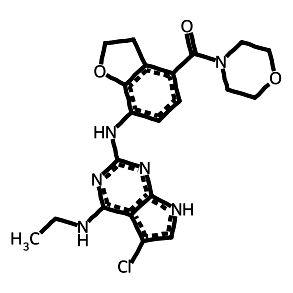 CCNc1nc(Nc2ccc(C(=O)N3CCOCC3)c3c2OCC3)nc2[nH]cc(Cl)c12